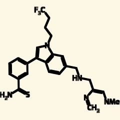 C=N/C(=C\NC)CNCc1ccc2c(-c3cccc(C(N)=S)c3)cn(CCCC(F)(F)F)c2c1